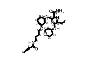 CC#CC(=O)NCCCCOc1cccc(Nc2nc(NC3CCOCC3)c(CC)nc2C(N)=O)c1